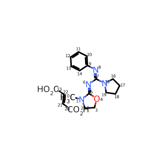 CN1CCOC1=NC(=Nc1ccccc1)N1CCCC1.O=C(O)/C=C/C(=O)O